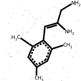 Cc1cc(C)c(/C=C(\N)CN)c(C)c1